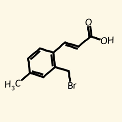 Cc1ccc(C=CC(=O)O)c(CBr)c1